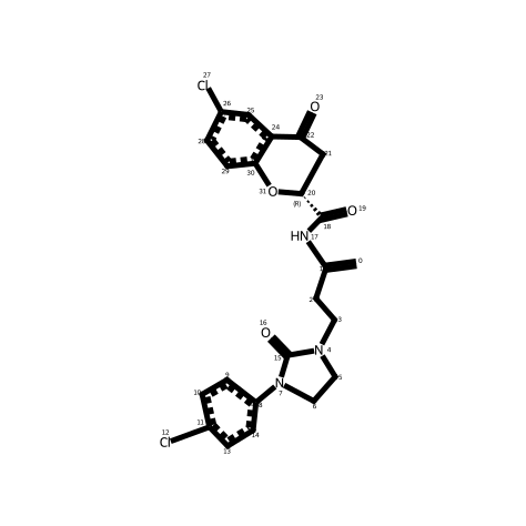 C=C(CCN1CCN(c2ccc(Cl)cc2)C1=O)NC(=O)[C@H]1CC(=O)c2cc(Cl)ccc2O1